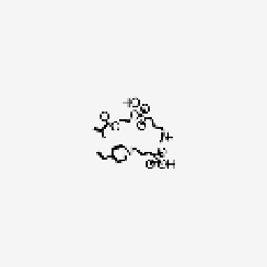 C=C(C)C(=O)OCCOS(=O)(=O)CCCN(C)C.C=Cc1cc[n+](CCCS(=O)(=O)O)cc1.[OH-]